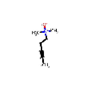 CC#CCC[N+](C)(C)[O-]